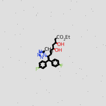 CCOC(=O)CC(O)CC(O)/C=C/C(=C(c1ccc(F)cc1)c1ccc(F)cc1)n1nnnc1C